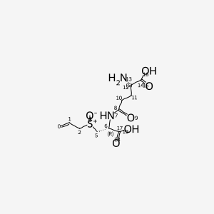 C=CC[S+]([O-])C[C@H](NC(=O)CC[C@H](N)C(=O)O)C(=O)O